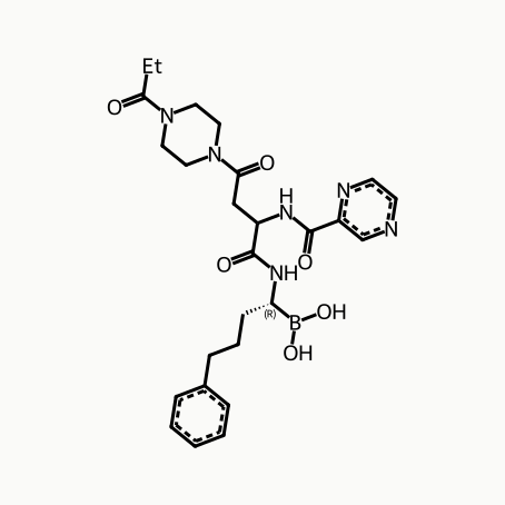 CCC(=O)N1CCN(C(=O)CC(NC(=O)c2cnccn2)C(=O)N[C@@H](CCCc2ccccc2)B(O)O)CC1